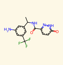 CC(NC(=O)c1ccc(=O)[nH]n1)c1cc(N)cc(C(F)(F)F)c1